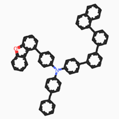 c1ccc(-c2ccc(N(c3ccc(-c4cccc(-c5cccc(-c6cccc7ccccc67)c5)c4)cc3)c3ccc(-c4cccc5oc6ccccc6c45)cc3)cc2)cc1